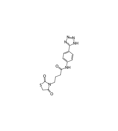 O=C(CCCN1C(=O)CSC1=O)Nc1ccc(-c2nnn[nH]2)cc1